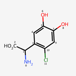 NC(C(=O)O)c1cc(O)c(O)cc1Cl